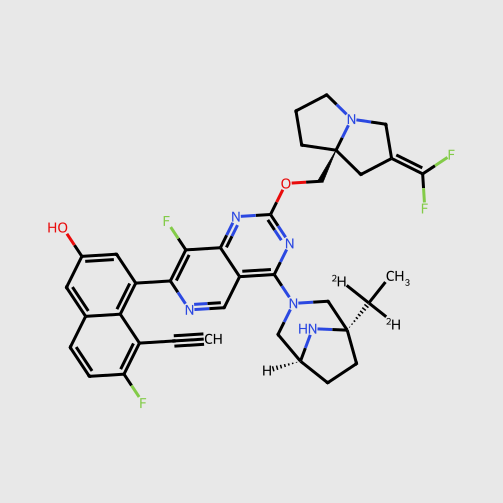 [2H]C([2H])(C)[C@@]12CC[C@@H](CN(c3nc(OC[C@@]45CCCN4CC(=C(F)F)C5)nc4c(F)c(-c5cc(O)cc6ccc(F)c(C#C)c56)ncc34)C1)N2